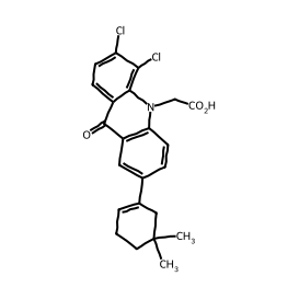 CC1(C)CCC=C(c2ccc3c(c2)c(=O)c2ccc(Cl)c(Cl)c2n3CC(=O)O)C1